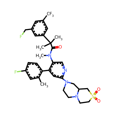 Cc1cc(F)ccc1-c1cc(N2CCN3CCS(=O)(=O)CC3C2)ncc1N(C)C(=O)C(C)(C)c1cc(CF)cc(C(F)(F)F)c1